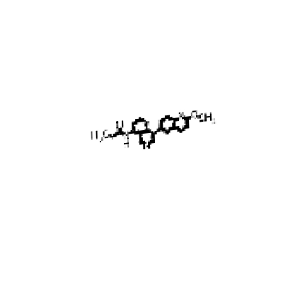 CCC(=O)Nc1cccc2c(-c3ccc4nc(OC)ccc4c3)cncc12